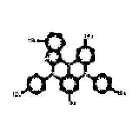 CC(C)(C)c1ccc(N2c3ccc(C(C)(C)C)cc3B3c4c2cc(C(C)(C)C)cc4N(c2ccc(C(C)(C)C)cc2)c2sc4c(C(C)(C)C)cccc4c23)cc1